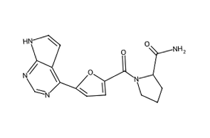 NC(=O)C1CCCN1C(=O)c1ccc(-c2ncnc3[nH]ccc23)o1